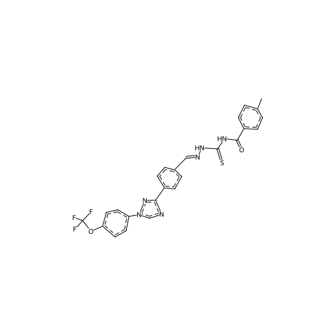 Cc1ccc(C(=O)NC(=S)N/N=C/c2ccc(-c3ncn(-c4ccc(OC(F)(F)F)cc4)n3)cc2)cc1